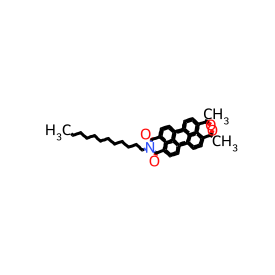 CCCCCCCCCCCCN1C(=O)c2ccc3c4ccc(C(C)=O)c5c(C(C)=O)ccc(c6ccc(c2c36)C1=O)c54